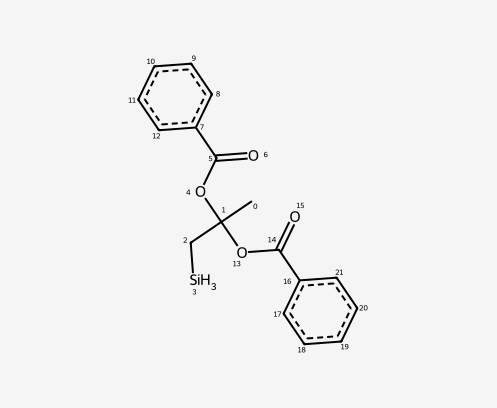 CC(C[SiH3])(OC(=O)c1ccccc1)OC(=O)c1ccccc1